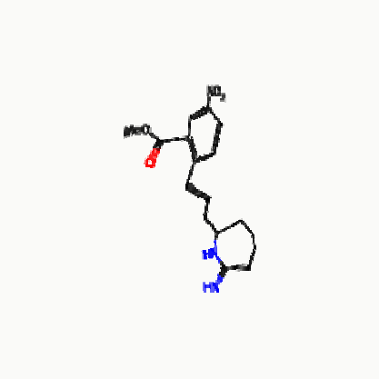 COC(=O)c1cc([N+](=O)[O-])ccc1/C=C/CC1CCCCC(=N)N1